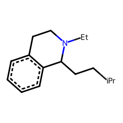 CCN1CCc2ccccc2C1CCC(C)C